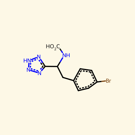 O=C(O)NC(Cc1ccc(Br)cc1)c1nn[nH]n1